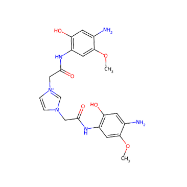 COc1cc(NC(=O)Cn2cc[n+](CC(=O)Nc3cc(OC)c(N)cc3O)c2)c(O)cc1N